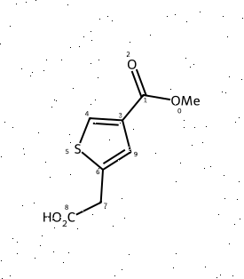 COC(=O)c1csc(CC(=O)O)c1